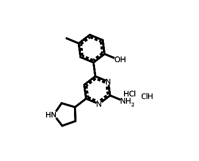 Cc1ccc(O)c(-c2cc(C3CCNC3)nc(N)n2)c1.Cl.Cl